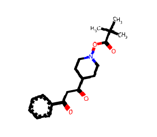 CC(C)(C)C(=O)ON1CCC(C(=O)CC(=O)c2ccccc2)CC1